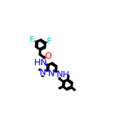 Cc1cc(C)c(CNc2ccc(NC(=O)Cc3cc(F)cc(F)c3)c(N(C)C)n2)c(C)c1